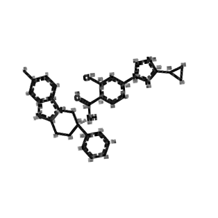 Cc1ccc2c(c1)nc1n2C[C@@](NC(=O)c2ccc(-n3cnc(C4CC4)n3)cc2Cl)(c2ccccc2)CC1